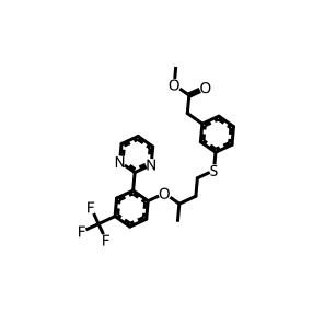 COC(=O)Cc1cccc(SCCC(C)Oc2ccc(C(F)(F)F)cc2-c2ncccn2)c1